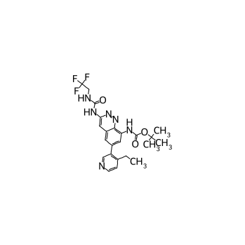 CCc1ccncc1-c1cc(NC(=O)OC(C)(C)C)c2nnc(NC(=O)NCC(F)(F)F)cc2c1